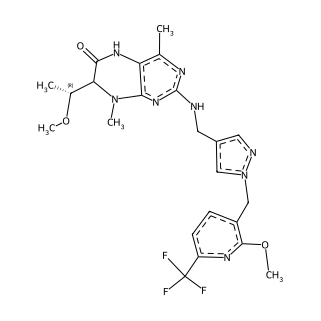 COc1nc(C(F)(F)F)ccc1Cn1cc(CNc2nc(C)c3c(n2)N(C)C([C@@H](C)OC)C(=O)N3)cn1